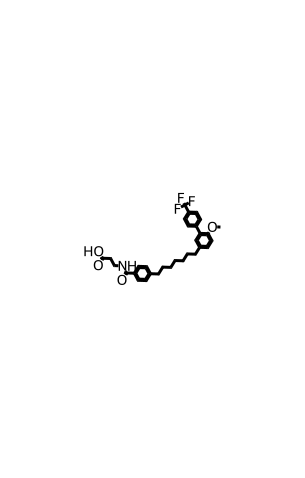 COc1ccc(CCCCCCCc2ccc(C(=O)NCCC(=O)O)cc2)cc1-c1ccc(C(F)(F)F)cc1